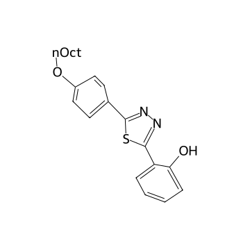 CCCCCCCCOc1ccc(-c2nnc(-c3ccccc3O)s2)cc1